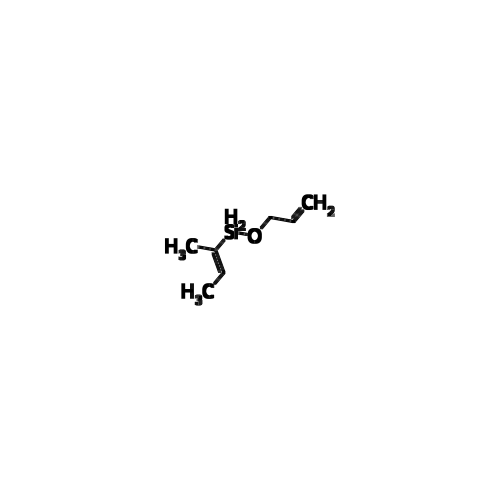 C=CCO[SiH2]C(C)=CC